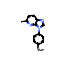 CNc1ccc(-n2cnc3ccc(C)nc32)cc1